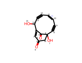 O=C1C=C2C(=O)C(O)(C#C/C=C\C#CC2O)C1